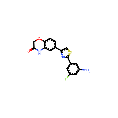 Nc1cc(F)cc(-c2nc(-c3ccc4c(c3)NC(=O)CO4)cs2)c1